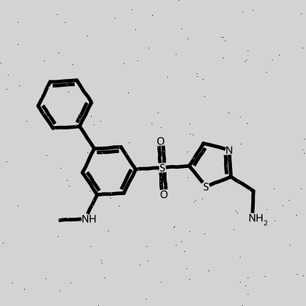 CNc1cc(-c2ccccc2)cc(S(=O)(=O)c2cnc(CN)s2)c1